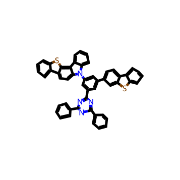 c1ccc(-c2nc(-c3ccccc3)nc(-c3cc(-c4ccc5c(c4)sc4ccccc45)cc(-n4c5ccccc5c5c6sc7ccccc7c6ccc54)c3)n2)cc1